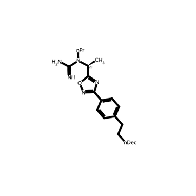 CCCCCCCCCCCCc1ccc(-c2noc([C@H](C)N(CCC)C(=N)N)n2)cc1